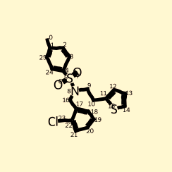 Cc1ccc(S(=O)(=O)N(CCc2cccs2)Cc2ccccc2Cl)cc1